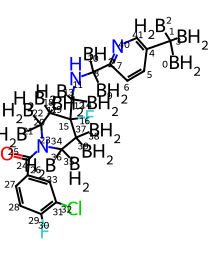 BC(B)(B)c1ccc(C(B)(B)NC(B)(B)C2(F)C(B)(B)C(B)(B)N(C(=O)c3ccc(F)c(Cl)c3)C(B)(B)C2(B)B)nc1